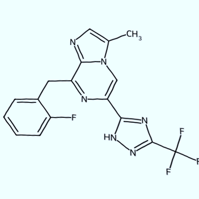 Cc1cnc2c(Cc3ccccc3F)nc(-c3nc(C(F)(F)F)n[nH]3)cn12